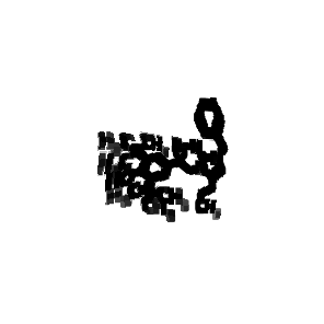 CCCc1cn(Cc2ccccc2)/c(=N/Br)n1CC(=O)c1cc(C(C)(C)C)c(O)c(C(C)(C)C)c1